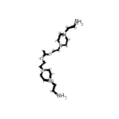 CC(OCCN1CCN(CCN)CC1)OCCN1CCN(CCN)CC1